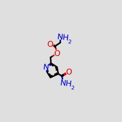 NCC(=O)OCc1cc(C(N)=O)ccn1